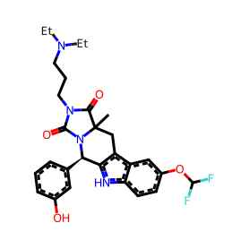 CCN(CC)CCCN1C(=O)N2[C@H](c3cccc(O)c3)c3[nH]c4ccc(OC(F)F)cc4c3CC2(C)C1=O